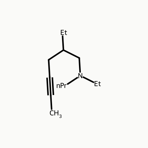 CC#CCC(CC)CN(CC)CCC